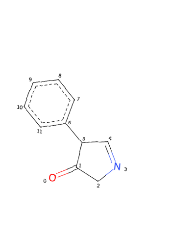 O=C1CN=CC1c1ccccc1